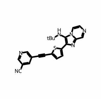 CC(C)(C)Nc1c(-c2ccc(C#Cc3cncc(C#N)c3)s2)nc2cnccn12